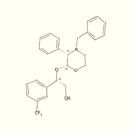 OC[C@@H](O[C@H]1OCCN(Cc2ccccc2)[C@H]1c1ccccc1)c1cccc(C(F)(F)F)c1